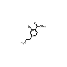 COC(=O)c1ccc(CCN)cc1Br